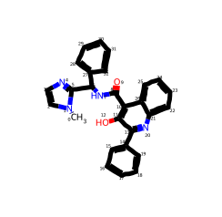 Cn1ccnc1C(NC(=O)c1c(O)c(-c2ccccc2)nc2ccccc12)c1ccccc1